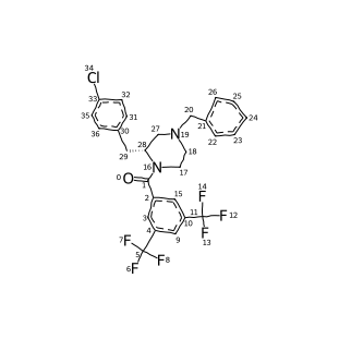 O=C(c1cc(C(F)(F)F)cc(C(F)(F)F)c1)N1CCN(Cc2ccccc2)C[C@H]1Cc1ccc(Cl)cc1